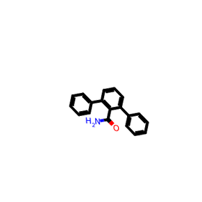 NC(=O)c1c(-c2ccccc2)cccc1-c1ccccc1